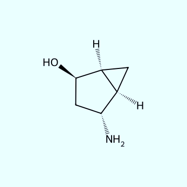 N[C@@H]1C[C@@H](O)[C@H]2C[C@H]21